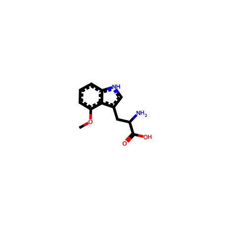 COc1cccc2[nH]cc(CC(N)C(=O)O)c12